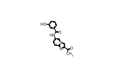 CC(=O)c1cn2cc(NC(=O)c3cccc(O)c3)ccc2n1